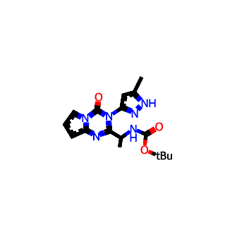 Cc1cc(-n2c(C(C)NC(=O)OC(C)(C)C)nc3cccn3c2=O)n[nH]1